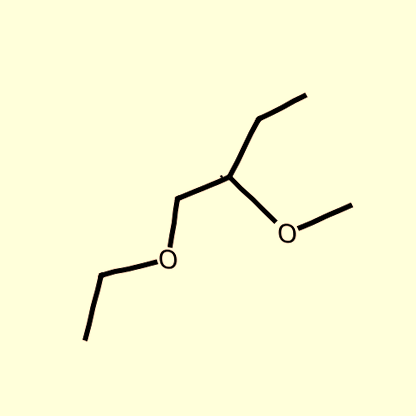 CCOC[C](CC)OC